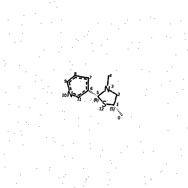 C[C@H]1CN(C)[C@@H](c2cccnc2)S1